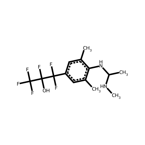 CNC(C)Nc1c(C)cc(C(F)(F)C(O)(F)C(F)(F)F)cc1C